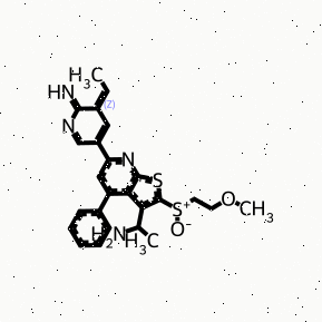 C/C=C1/C=C(c2cc(-c3ccccc3)c3c(C(C)N)c([S+]([O-])CCOC)sc3n2)C=NC1=N